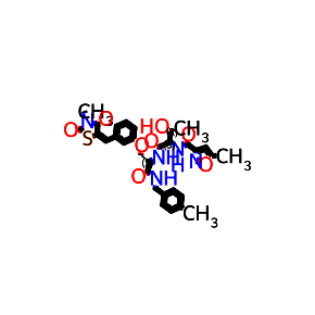 Cc1ccc(CNC(=O)[C@H](COc2cccc(C=C3SC(=O)N(C)C3=O)c2)NC(=O)[C@@H](NC(=O)c2cc(C)on2)[C@@H](C)O)cc1